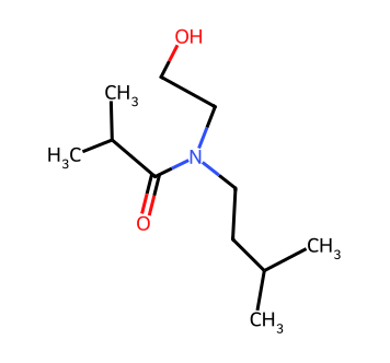 CC(C)CCN(CCO)C(=O)C(C)C